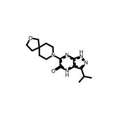 CC(C)c1n[nH]c2nc(N3CCC4(CCOC4)CC3)c(=O)[nH]c12